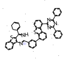 N=C(C1=CC=CCC1)c1sc2ccccc2c1/N=C/c1cccc(-c2cccc3c2sc2cccc(-c4nc(-c5ccccc5)nc(-c5ccccc5)n4)c23)c1